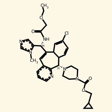 CCOCC(=O)N[C@H](C1=Cc2cccnc2[C@@H](N2CCN(C(=O)OCC3CC3)CC2)C2C=CC(Cl)=CC12)c1cncn1C